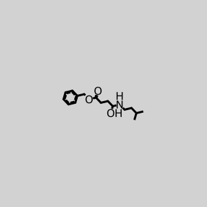 CC(C)CCNC(O)CCC(=O)OCc1ccccc1